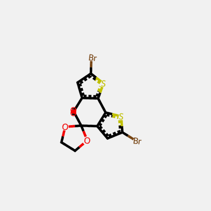 Brc1cc2c(s1)-c1sc(Br)cc1C1(OCCO1)C21OCCO1